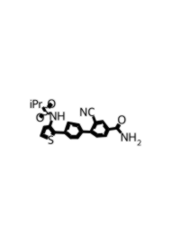 CC(C)S(=O)(=O)Nc1ccsc1-c1ccc(-c2ccc(C(N)=O)cc2C#N)cc1